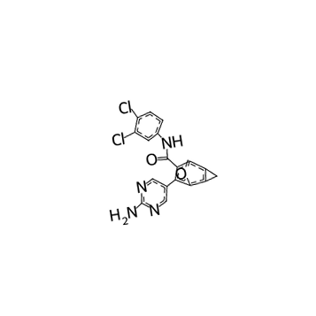 Nc1ncc(-c2c(C(=O)Nc3ccc(Cl)c(Cl)c3)c3oc2c2c3C2)cn1